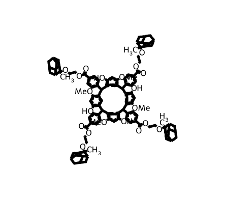 COc1cc(O)c2cc1C(c1ccc(C(=O)OCCOC3(C)C4CC5CC(C4)CC3C5)cc1)c1cc(c(OC)cc1O)C(c1ccc(C(=O)OCCOC3(C)C4CC5CC(C4)CC3C5)cc1)c1cc(c(OC)cc1O)C(c1ccc(C(=O)OCCOC3(C)C4CC5CC(C4)CC3C5)cc1)c1cc(c(OC)cc1O)C2c1ccc(C(=O)OCCOC2(C)C3CC4CC(C3)CC2C4)cc1